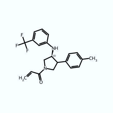 C=CC(=O)N1CC(c2ccc(C)cc2)[C@H](Nc2cccc(C(F)(F)F)c2)C1